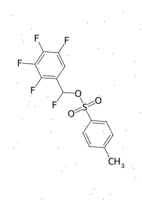 Cc1ccc(S(=O)(=O)OC(F)c2cc(F)c(F)c(F)c2F)cc1